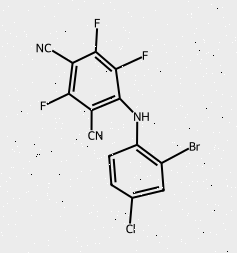 N#Cc1c(F)c(F)c(Nc2ccc(Cl)cc2Br)c(C#N)c1F